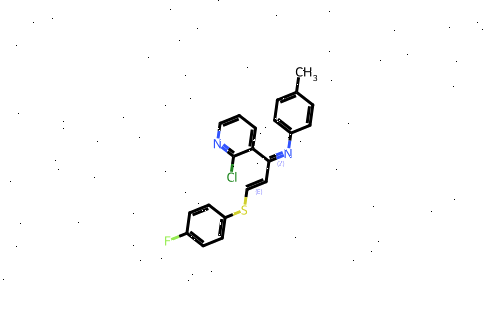 Cc1ccc(/N=C(/C=C/Sc2ccc(F)cc2)c2cccnc2Cl)cc1